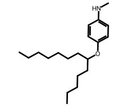 CCCCCCCC(CCCCC)Oc1ccc(NC)cc1